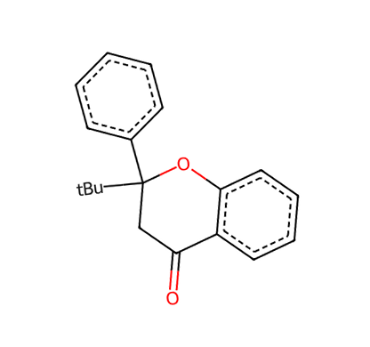 CC(C)(C)C1(c2ccccc2)CC(=O)c2ccccc2O1